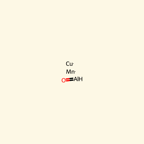 [Cu].[Mn].[O]=[AlH]